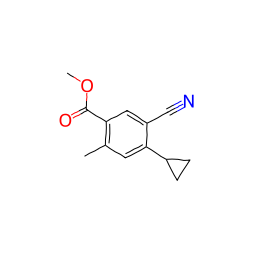 COC(=O)c1cc(C#N)c(C2CC2)cc1C